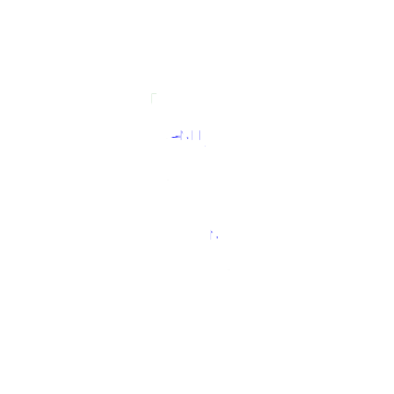 N[C@H](CF)Cc1ccc(N2CCC(F)C2)cc1